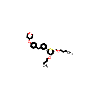 CCCCOC[C@@H]1C[C@H](OCCCC)C[C@H](c2cccc(Cc3ccc(OC4CCOCC4)cc3)c2)S1